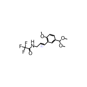 COc1ccc(C(OC)OC)cc1/C=C/CNC(=O)C(F)(F)F